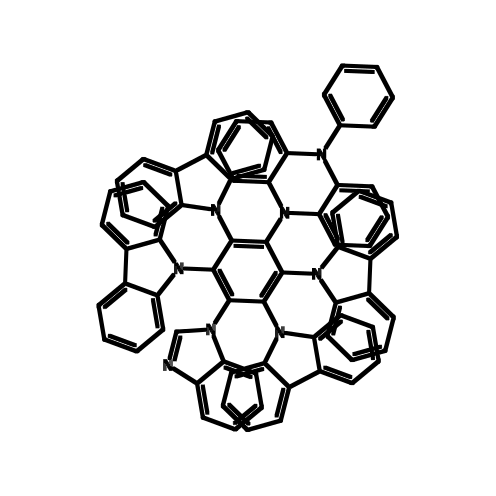 c1ccc(N2c3ccccc3N(c3c(-n4c5ccccc5c5ccccc54)c(-n4c5ccccc5c5ccccc54)c(-n4cnc5ccccc54)c(-n4c5ccccc5c5ccccc54)c3-n3c4ccccc4c4ccccc43)c3ccccc32)cc1